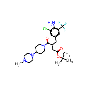 CN1CCN(C2CCN(C(=O)[C@H](CC(=O)OC(C)(C)C)Cc3cc(Cl)c(N)c(C(F)(F)F)c3)CC2)CC1